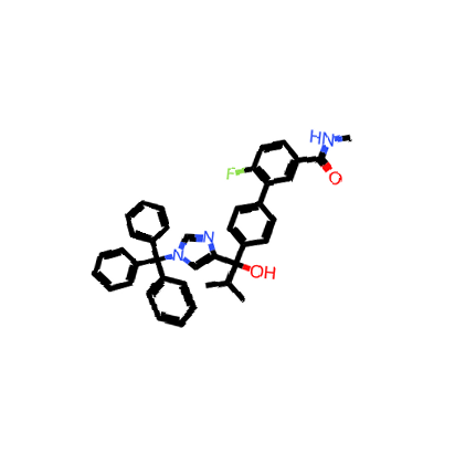 CNC(=O)c1ccc(F)c(-c2ccc(C(O)(c3cn(C(c4ccccc4)(c4ccccc4)c4ccccc4)cn3)C(C)C)cc2)c1